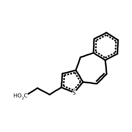 O=C(O)CCc1cc2c(s1)C=Cc1ccccc1C2